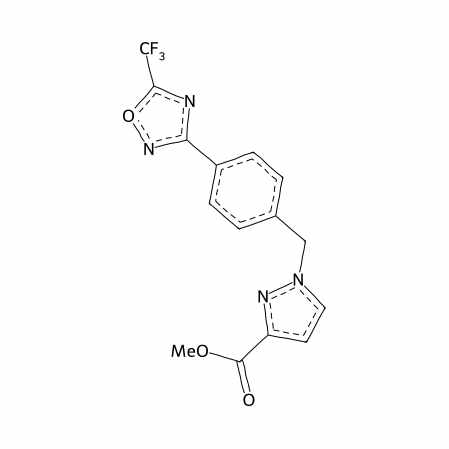 COC(=O)c1ccn(Cc2ccc(-c3noc(C(F)(F)F)n3)cc2)n1